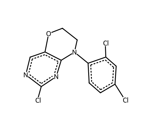 Clc1ccc(N2CCOc3cnc(Cl)nc32)c(Cl)c1